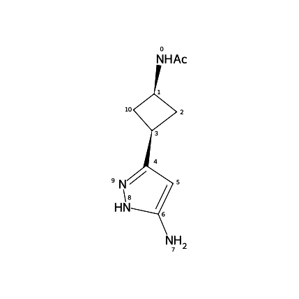 CC(=O)N[C@H]1C[C@@H](c2cc(N)[nH]n2)C1